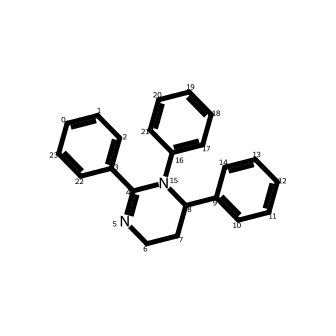 c1ccc(C2=NCCC(c3ccccc3)N2c2ccccc2)cc1